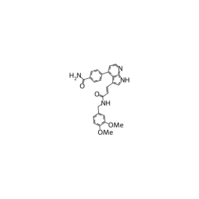 COc1ccc(CNC(=O)/C=C/c2c[nH]c3nccc(-c4ccc(C(N)=O)cc4)c23)cc1OC